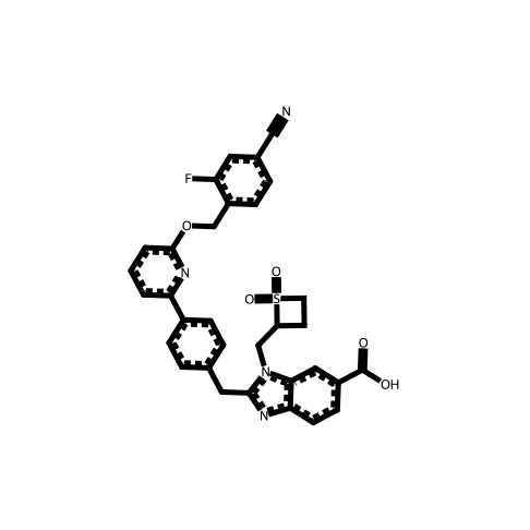 N#Cc1ccc(COc2cccc(-c3ccc(Cc4nc5ccc(C(=O)O)cc5n4CC4CCS4(=O)=O)cc3)n2)c(F)c1